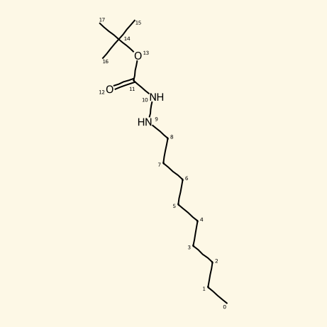 CCCCCCCCCNNC(=O)OC(C)(C)C